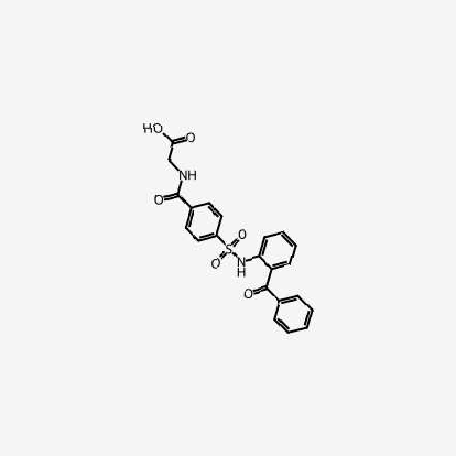 O=C(O)CNC(=O)c1ccc(S(=O)(=O)Nc2ccccc2C(=O)c2ccccc2)cc1